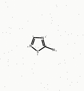 [N]c1ncns1